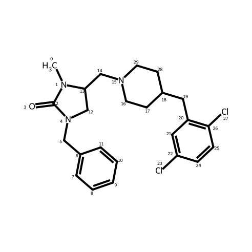 CN1C(=O)N(Cc2ccccc2)CC1CN1CCC(Cc2cc(Cl)ccc2Cl)CC1